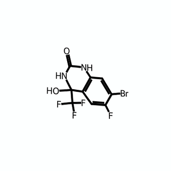 O=C1Nc2cc(Br)c(F)cc2C(O)(C(F)(F)F)N1